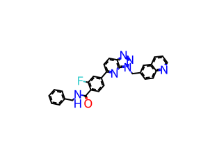 O=C(NCc1ccccc1)c1ccc(-c2ccc3nnn(Cc4ccc5ncccc5c4)c3n2)cc1F